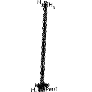 C=C(C)C(=O)OCCOCCOCCOCCOCCOCCOCCOCCOCCOCCOCCOCCOCCOCCOCCOCCOCCOCCOCCOCCOCCOCCOCCOCCOCCOc1c(C(C)c2ccccc2)cc(C(C(C)C)C(C)CCC)cc1C(C)c1ccccc1